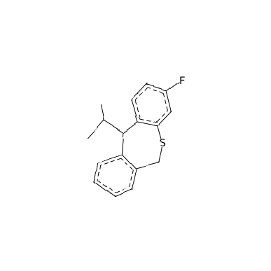 CC(C)C1c2ccccc2CSc2cc(F)ccc21